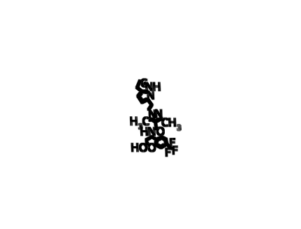 Cc1nn(CCc2ccc3c(n2)NCCC3)c(C)c1C(=O)NC(CC(=O)O)c1ccc(C(F)(F)F)cc1